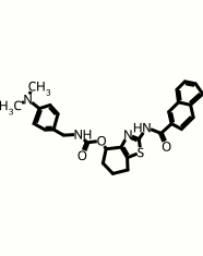 CN(C)c1ccc(CNC(=O)OC2CCCc3sc(NC(=O)c4ccc5ccccc5c4)nc32)cc1